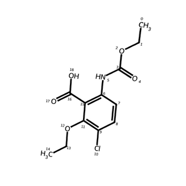 CCOC(=O)Nc1ccc(Cl)c(OCC)c1C(=O)O